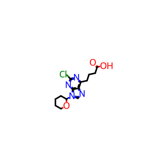 O=C(O)CCCc1nc(Cl)nc2c1ncn2C1CCCCO1